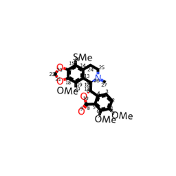 COc1ccc2c(c1OC)C(=O)O[C@@H]2[C@H]1c2c(c(SC)c3c(c2OC)OCO3)CCN1C